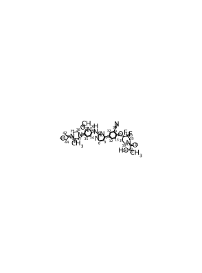 COc1nc(Nc2nccc(-c3ccc(OC4CCN(C(=O)C(C)O)CC4(F)F)c(C#N)c3)n2)ccc1N1CCN(C2COC2)C(C)C1